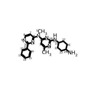 Cc1cc(N(C)c2ccnc(-c3ccccc3)n2)nc(NC2CCC(N)CC2)n1